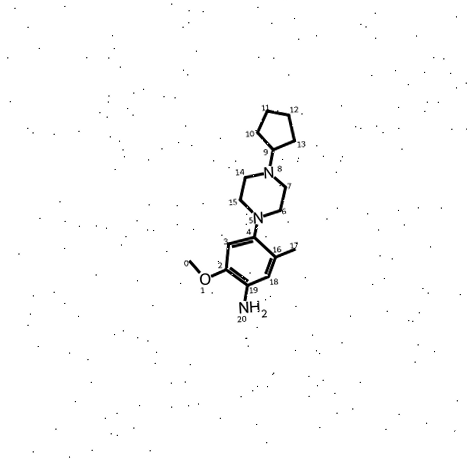 COc1cc(N2CCN(C3CCCC3)CC2)c(C)cc1N